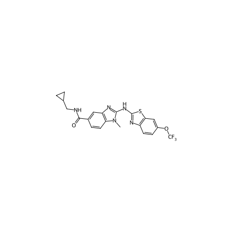 Cn1c(Nc2nc3ccc(OC(F)(F)F)cc3s2)nc2cc(C(=O)NCC3CC3)ccc21